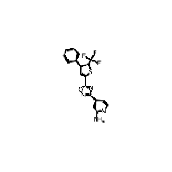 Nc1cc(-c2noc(C3=CC(c4ccccc4)C(C(F)(F)F)S3)n2)ccn1